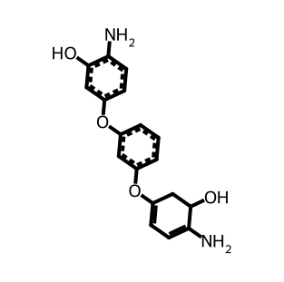 NC1=CC=C(Oc2cccc(Oc3ccc(N)c(O)c3)c2)CC1O